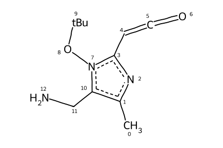 Cc1nc(C=C=O)n(OC(C)(C)C)c1CN